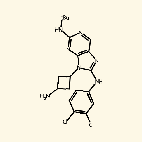 CC(C)(C)Nc1ncc2nc(Nc3ccc(Cl)c(Cl)c3)n(C3CC(N)C3)c2n1